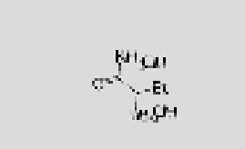 CCCCC(CC)C(N)=O.Cl.Cl